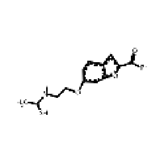 CC(S)NCCOc1ccc2cc(C(=O)C(C)C)oc2c1